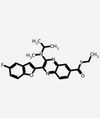 CCSC(=O)c1ccc2nc(-c3cc4cc(F)ccc4o3)c(N(C)C(C)C)nc2c1